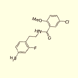 Bc1ccc(CCNC(=O)c2cc(Cl)ccc2OC)c(F)c1